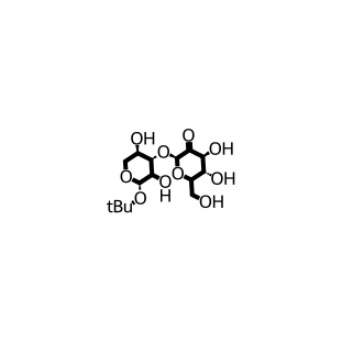 CC(C)(C)O[C@@H]1OC[C@@H](O)[C@H](O[C@@H]2OC(CO)[C@@H](O)[C@H](O)C2=O)C1O